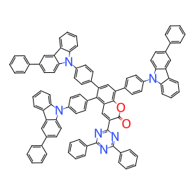 O=c1oc2c(-c3ccc(-n4c5ccccc5c5cc(-c6ccccc6)ccc54)cc3)cc(-c3ccc(-n4c5ccccc5c5cc(-c6ccccc6)ccc54)cc3)c(-c3ccc(-n4c5ccccc5c5cc(-c6ccccc6)ccc54)cc3)c2cc1-c1nc(-c2ccccc2)nc(-c2ccccc2)n1